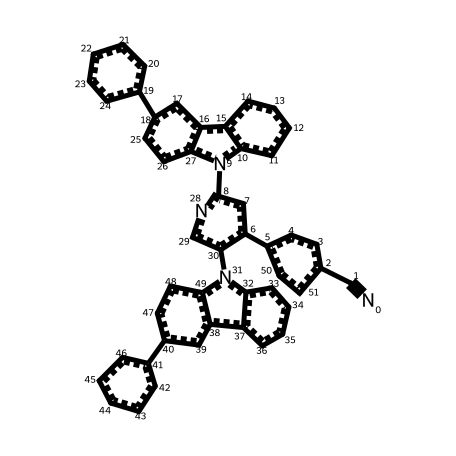 N#Cc1ccc(-c2cc(-n3c4ccccc4c4cc(-c5ccccc5)ccc43)ncc2-n2c3ccccc3c3cc(-c4ccccc4)ccc32)cc1